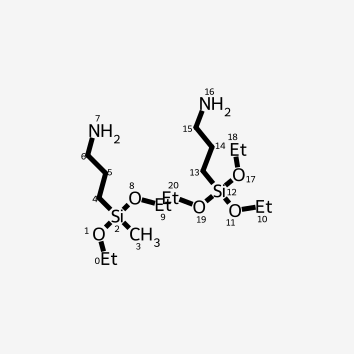 CCO[Si](C)(CCCN)OCC.CCO[Si](CCCN)(OCC)OCC